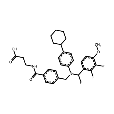 COc1ccc(C(F)N(Cc2ccc(C(=O)NCCC(=O)O)cc2)c2ccc(C3CCCCC3)cc2)c(F)c1F